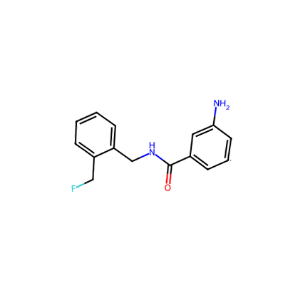 Nc1c[c]cc(C(=O)NCc2ccccc2CF)c1